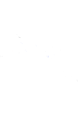 N#Cc1ccc(COc2cccc(C3(N)CCN(Cc4nc5cc(C(=O)O)oc5n4C[C@@H]4CCO4)CC3)n2)c(F)c1